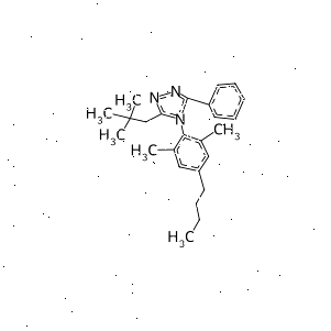 CCCCc1cc(C)c(-n2c(CC(C)(C)C)nnc2-c2ccccc2)c(C)c1